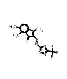 CC1=C(N=Nc2nc(C(F)(F)F)ns2)C(=O)c2c1ccc(C)c2C